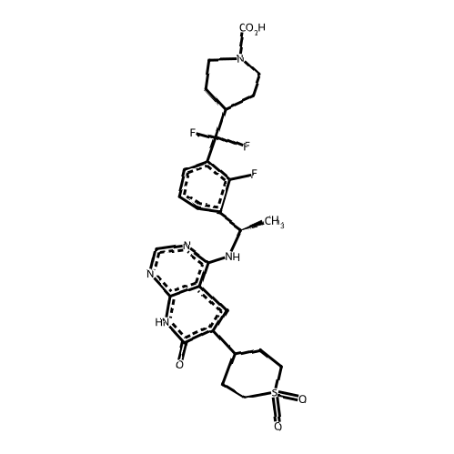 C[C@@H](Nc1ncnc2[nH]c(=O)c(C3CCS(=O)(=O)CC3)cc12)c1cccc(C(F)(F)C2CCN(C(=O)O)CC2)c1F